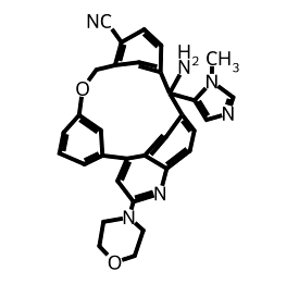 Cn1cncc1C1(N)c2ccc(C#N)c(c2)COc2cccc(c2)-c2cc(N3CCOCC3)nc3ccc1cc23